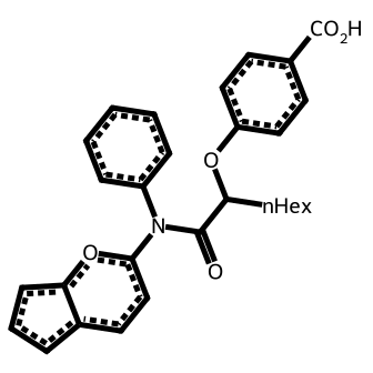 CCCCCCC(Oc1ccc(C(=O)O)cc1)C(=O)N(c1ccccc1)c1ccc2cccc-2o1